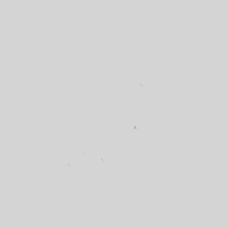 CC(C)(C)OC(=O)Nc1cccc(CNC(=O)c2cccc(Nc3nc(Cl)ncc3Cl)c2)c1